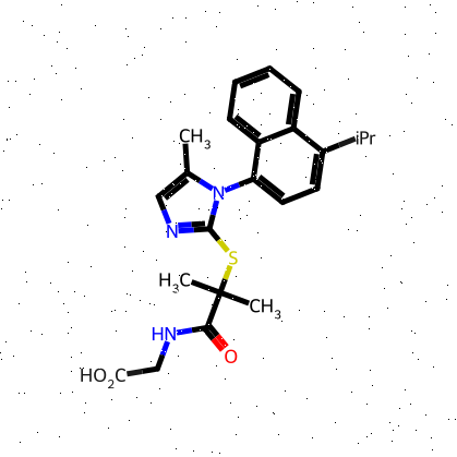 Cc1cnc(SC(C)(C)C(=O)NCC(=O)O)n1-c1ccc(C(C)C)c2ccccc12